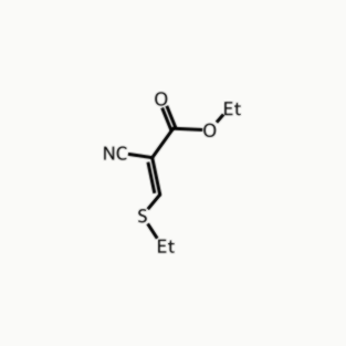 CCOC(=O)C(C#N)=CSCC